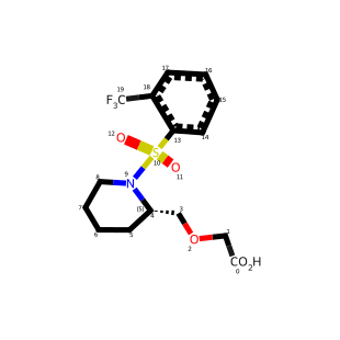 O=C(O)COC[C@@H]1CCCCN1S(=O)(=O)c1ccccc1C(F)(F)F